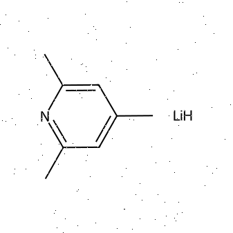 Cc1cc(C)nc(C)c1.[LiH]